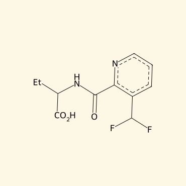 CCC(NC(=O)c1ncccc1C(F)F)C(=O)O